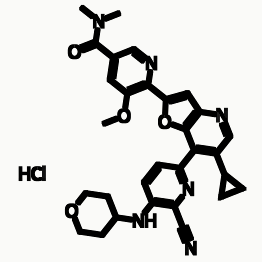 COc1cc(C(=O)N(C)C)cnc1-c1cc2ncc(C3CC3)c(-c3ccc(NC4CCOCC4)c(C#N)n3)c2o1.Cl